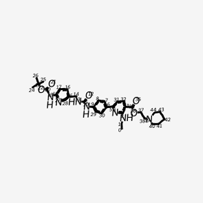 CCNc1nc(-c2ccc(NC(=O)NCc3ccc(NC(=O)OC(C)(C)C)nc3)cc2)ccc1C(=O)OCCN1CCCCC1